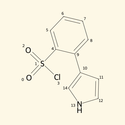 O=S(=O)(Cl)c1ccccc1-c1cc[nH]c1